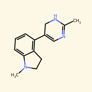 CC1=NC=C(c2cccc3c2CCN3C)CN1